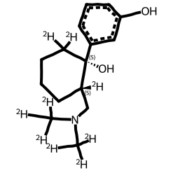 [2H]C([2H])([2H])N(C[C@]1([2H])CCCC([2H])([2H])[C@@]1(O)c1cccc(O)c1)C([2H])([2H])[2H]